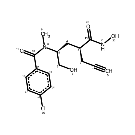 C#CC[C@@H](C[C@@H](CO)N(C)C(=O)c1ccc(Cl)cc1)C(=O)NO